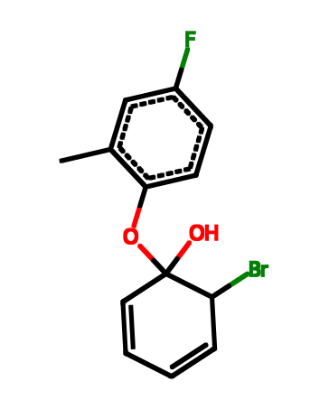 Cc1cc(F)ccc1OC1(O)C=CC=CC1Br